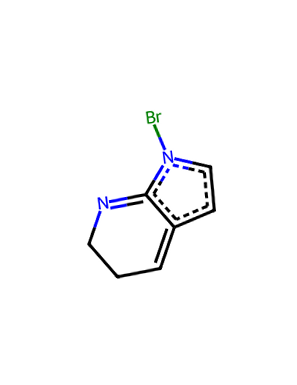 Brn1ccc2c1=NCCC=2